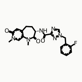 CN1C(=O)[C@@H](NC(=O)c2ncn(Cc3ccccc3F)n2)CCc2cc(=O)n(C)cc21